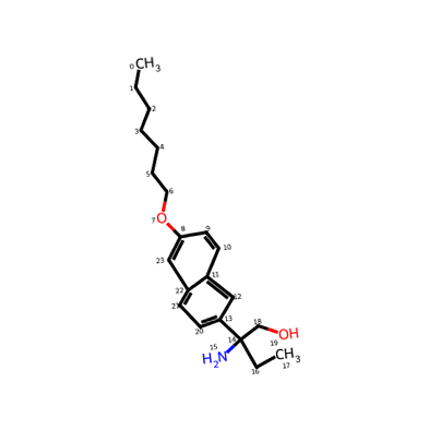 CCCCCCCOc1ccc2cc(C(N)(CC)CO)ccc2c1